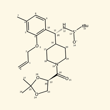 C=CCOc1cc(C)ccc1[C@H](N[S+]([O-])C(C)(C)C)C1CCN(C(=O)[C@H]2COC(C)(C)O2)CC1